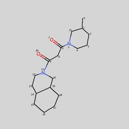 CC1CCCN(C(=O)CC(=O)N2CCC3CCCCC3C2)C1